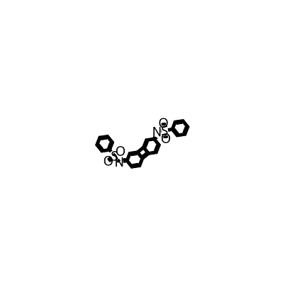 O=S(=O)(N=c1ccc2c3ccc(=NS(=O)(=O)c4ccccc4)cc-3c-2c1)c1ccccc1